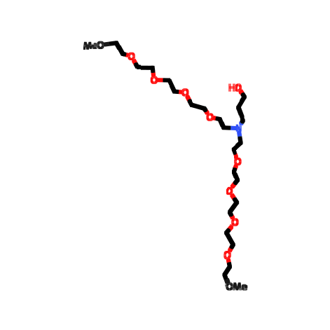 COCCOCCOCCOCCOCCN(CCCO)CCOCCOCCOCCOCCOC